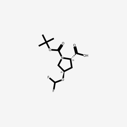 CC(C)(C)OC(=O)N1C[C@H](OC(F)F)C[C@H]1C(=O)O